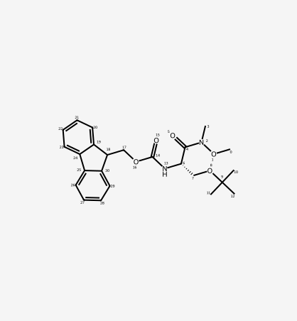 CON(C)C(=O)[C@H](COC(C)(C)C)NC(=O)OCC1c2ccccc2-c2ccccc21